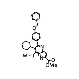 COC(=O)c1cc2nc(-c3ccc(OCc4ccccc4)cc3)c(C3CCCCC3)c(OC)n2n1